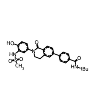 CC(C)(C)NC(=O)c1ccc(-c2ccc3c(c2)CCN(c2ccc(O)c(NS(C)(=O)=O)c2)C3=O)cc1